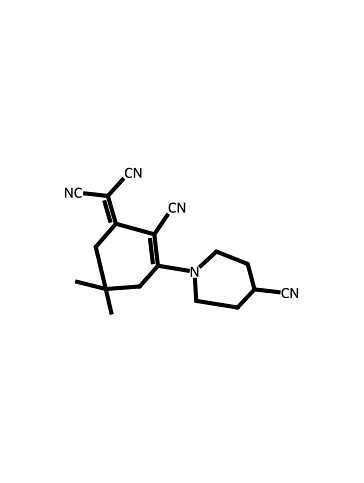 CC1(C)CC(=C(C#N)C#N)C(C#N)=C(N2CCC(C#N)CC2)C1